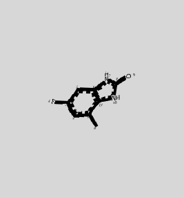 Cc1cc(F)cc2[nH]c(=O)[nH]c12